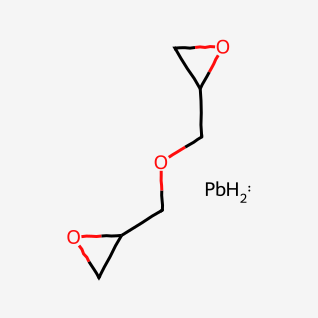 C(OCC1CO1)C1CO1.[PbH2]